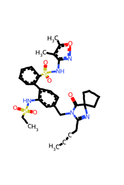 CCCCC1=NC2(CCCC2)C(=O)N1Cc1ccc(-c2ccccc2S(=O)(=O)Nc2noc(C)c2C)c(NS(=O)(=O)CC)c1